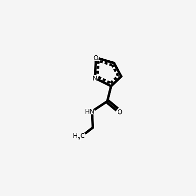 CCNC(=O)c1ccon1